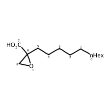 CCCCCCCCCCCC1(C(=O)O)CO1